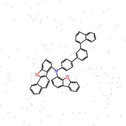 c1cc(-c2ccc(N(c3cccc4c3oc3ccccc34)c3cccc4oc5c6ccccc6ccc5c34)cc2)cc(-c2cccc3ccccc23)c1